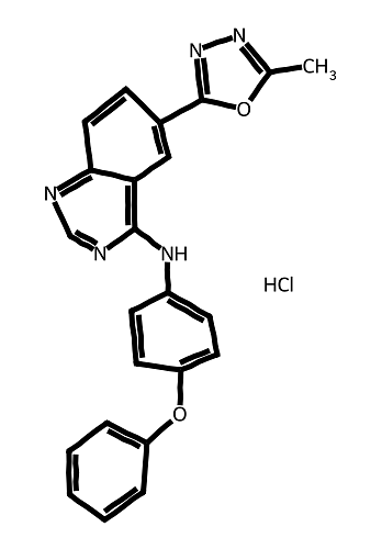 Cc1nnc(-c2ccc3ncnc(Nc4ccc(Oc5ccccc5)cc4)c3c2)o1.Cl